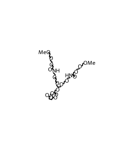 COCCOCCOCC(=O)NCCOCCOCC(COCCOCCNC(=O)COCCOCCOC)OCC(=O)ON1C(=O)CCC1=O